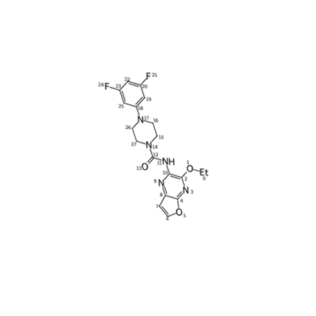 CCOc1nc2occc2nc1NC(=O)N1CCN(c2cc(F)cc(F)c2)CC1